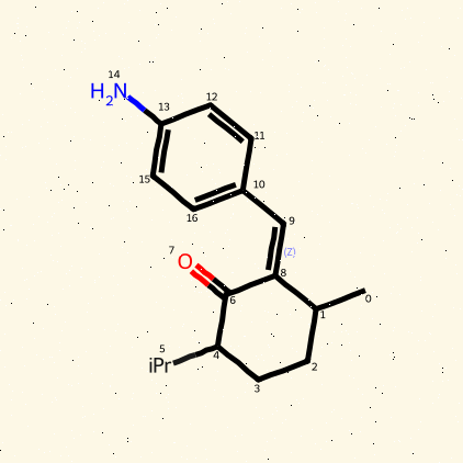 CC1CCC(C(C)C)C(=O)/C1=C\c1ccc(N)cc1